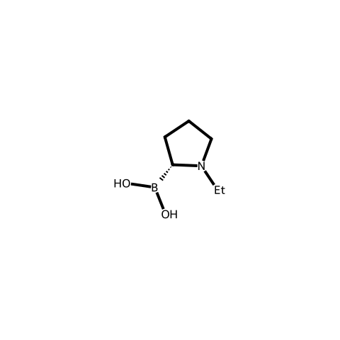 CCN1CCC[C@H]1B(O)O